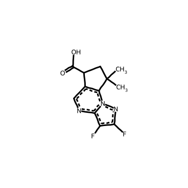 CC1(C)CC(C(=O)O)c2cnc3c(F)c(F)nn3c21